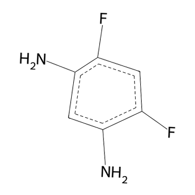 Nc1cc(N)c(F)cc1F